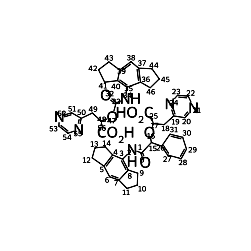 O=C(Nc1c2c(cc3c1CCC3)CCC2)C(O[C@H](Cc1cnccn1)C(=O)O)c1ccccc1.O=C(Nc1c2c(cc3c1CCC3)CCC2)O[C@H](Cc1cnccn1)C(=O)O